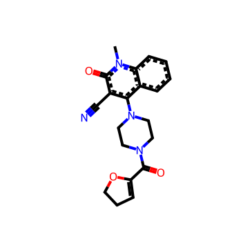 Cn1c(=O)c(C#N)c(N2CCN(C(=O)C3=CCCO3)CC2)c2ccccc21